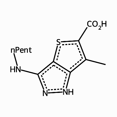 CCCCCNc1n[nH]c2c(C)c(C(=O)O)sc12